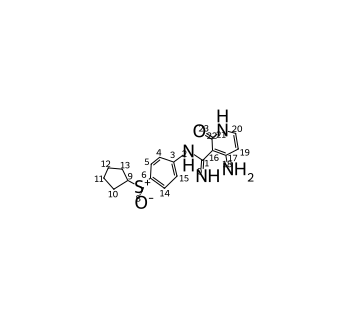 N=C(Nc1ccc([S+]([O-])C2CCCC2)cc1)c1c(N)cc[nH]c1=O